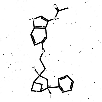 CC(=O)Nc1c[nH]c2ccc(OCC[C@@H]3C[C@H](c4ccccc4)C4CC3C4)cc12